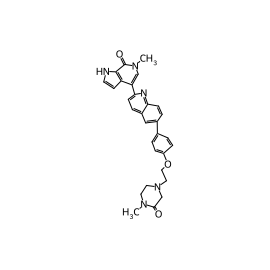 CN1CCN(CCOc2ccc(-c3ccc4nc(-c5cn(C)c(=O)c6[nH]ccc56)ccc4c3)cc2)CC1=O